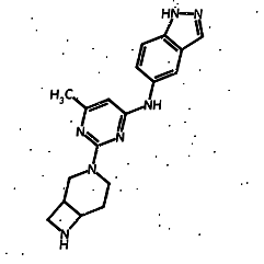 Cc1cc(Nc2ccc3[nH]ncc3c2)nc(N2CCC3NCC3C2)n1